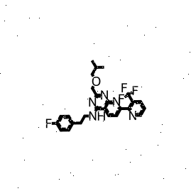 CC(C)COCc1nc(NCCc2ccc(F)cc2)c2ccc(-c3ncccc3C(F)(F)F)nc2n1